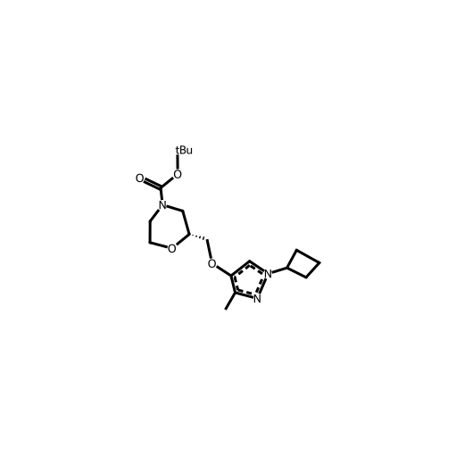 Cc1nn(C2CCC2)cc1OC[C@H]1CN(C(=O)OC(C)(C)C)CCO1